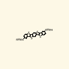 CCCCCCc1ccc2sc3c4cc5sc6c7cc(CCCCCC)ccc7sc6c5cc4sc3c2c1